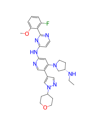 CCN[C@H]1CCN(c2cc(Nc3ccnc(-c4c(F)cccc4OC)n3)ncc2-c2cnn(C3CCOCC3)c2)C1